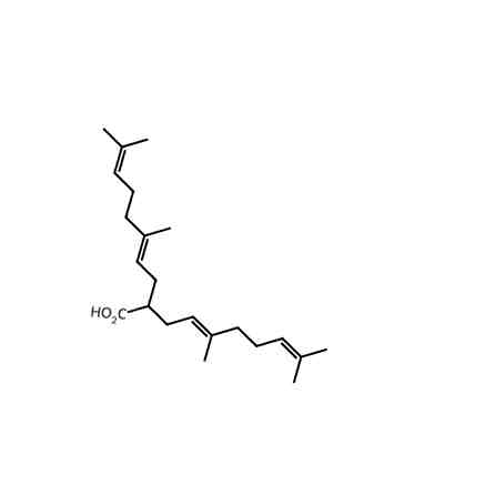 CC(C)=CCC/C(C)=C/CC(C/C=C(\C)CCC=C(C)C)C(=O)O